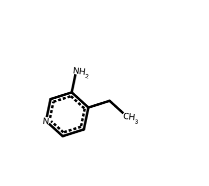 CCc1ccncc1N